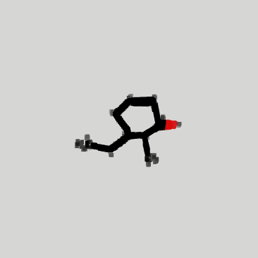 CCC1CC=CC(=O)C1C